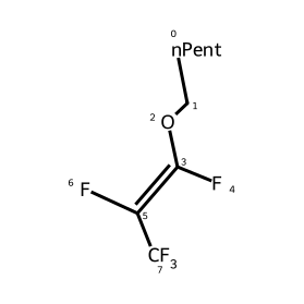 CCCCCCOC(F)=C(F)C(F)(F)F